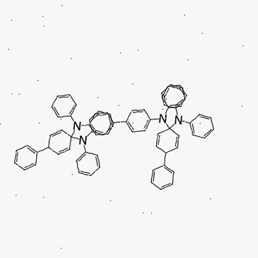 C1=CC(N(c2ccccc2)c2ccccc2)(N(c2ccccc2)c2ccc(-c3ccc(N(c4ccccc4)C4(N(c5ccccc5)c5ccccc5)C=CC(c5ccccc5)C=C4)cc3)cc2)C=CC1c1ccccc1